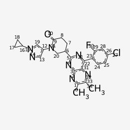 Cc1nc2nc(C3CCC(=O)N(c4cnn(C5CC5)c4)C3)nc(-c3ccc(Cl)cc3F)c2nc1C